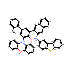 Cc1ccccc1-c1cc2c3c(c1)N1c4ccccc4Oc4cccc(c41)B3N(c1ccc3sc4ccccc4c3c1)c1cc3ccccc3cc1-2